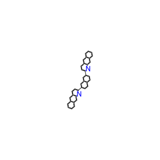 c1ccc2cc3nc(-c4ccc5ccc(-c6ccc7cc8ccccc8cc7n6)cc5c4)ccc3cc2c1